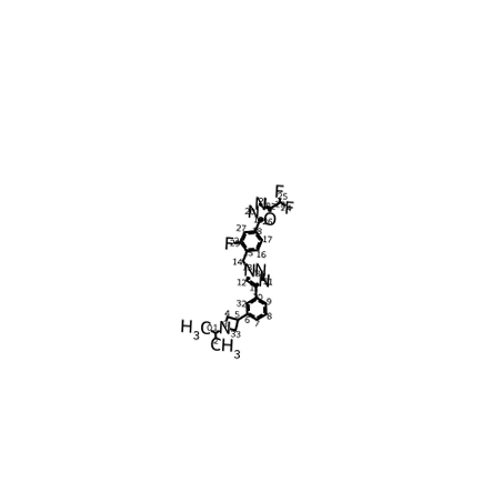 CC(C)N1CC(c2cccc(-c3cn(Cc4ccc(-c5nnc(C(F)F)o5)cc4F)nn3)c2)C1